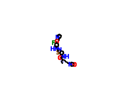 C/C=C(\CCCCN1CCOCC1)C(=O)Nc1ccc2nc(Nc3ccc(OCc4ccccn4)c(F)c3)sc2c1